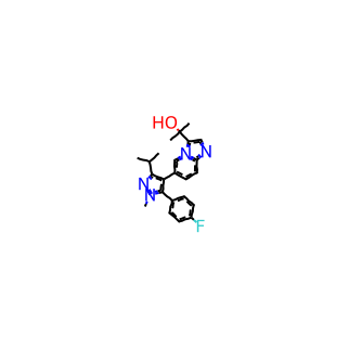 CC(C)c1nn(C)c(-c2ccc(F)cc2)c1-c1ccc2ncc(C(C)(C)O)n2c1